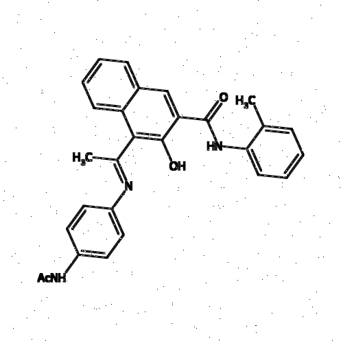 CC(=O)Nc1ccc(/N=C(\C)c2c(O)c(C(=O)Nc3ccccc3C)cc3ccccc23)cc1